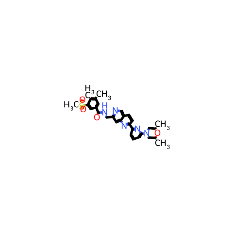 Cc1cc(C(=O)NCc2cc3nc(-c4cccc(N5C[C@@H](C)O[C@@H](C)C5)n4)ccc3cn2)cc(S(C)(=O)=O)c1C